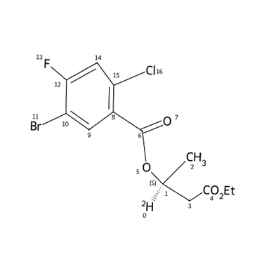 [2H][C@](C)(CC(=O)OCC)OC(=O)c1cc(Br)c(F)cc1Cl